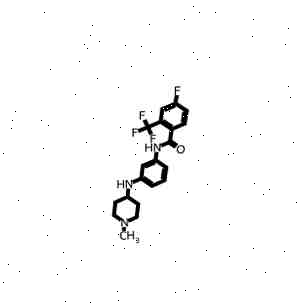 CN1CCC(Nc2cccc(NC(=O)c3ccc(F)cc3C(F)(F)F)c2)CC1